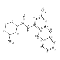 NC1CCCC(C(=O)Nc2cc(C(F)(F)F)cc3c2Nc2ccccc2O3)C1